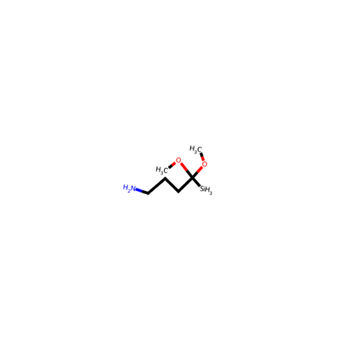 COC([SiH3])(CCCN)OC